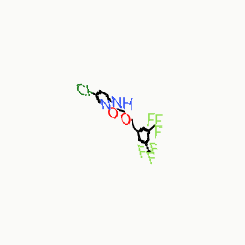 O=C(COCCc1cc(C(F)(F)F)cc(C(F)(F)F)c1)Nc1ccc(Cl)cn1